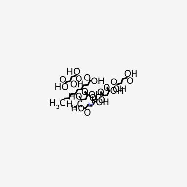 CC(O)CC(=O)O.CCCCCCCCCC(=O)O.O=C(O)/C=C/C(=O)O.O=C(O)CC(=O)O.O=C(O)CC(O)C(=O)O.O=C(O)CCC(=O)O